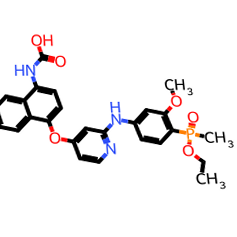 CCOP(C)(=O)c1ccc(Nc2cc(Oc3ccc(NC(=O)O)c4ccccc34)ccn2)cc1OC